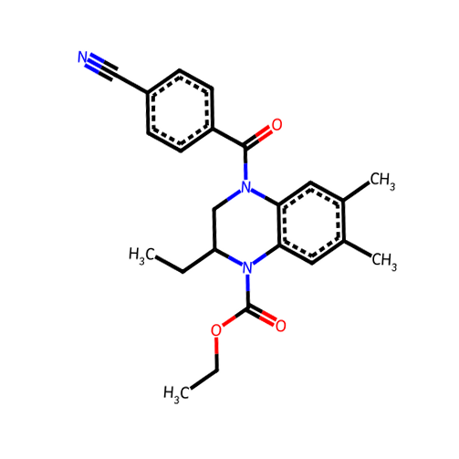 CCOC(=O)N1c2cc(C)c(C)cc2N(C(=O)c2ccc(C#N)cc2)CC1CC